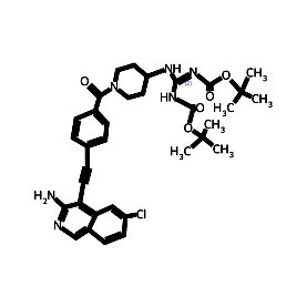 CC(C)(C)OC(=O)/N=C(\NC(=O)OC(C)(C)C)NC1CCN(C(=O)c2ccc(C#Cc3c(N)ncc4ccc(Cl)cc34)cc2)CC1